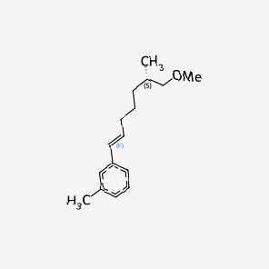 COC[C@@H](C)CCC/C=C/c1cccc(C)c1